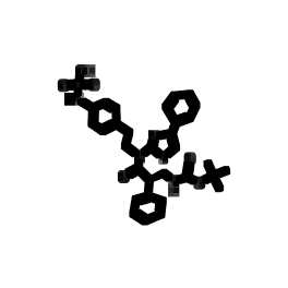 CC(C)(C)OC(=O)NC[C@H](C(=O)N(CCc1ccc(NS(=O)(=O)O)cc1)c1nc(-c2ccccc2)cs1)c1ccccc1